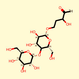 [2H]C(=O)C(O)CCO[C@@H]1O[C@H](CO)C(O[C@H]2O[C@H](CO)[C@@H](O)[C@H](O)[C@H]2O)[C@H](O)[C@H]1O